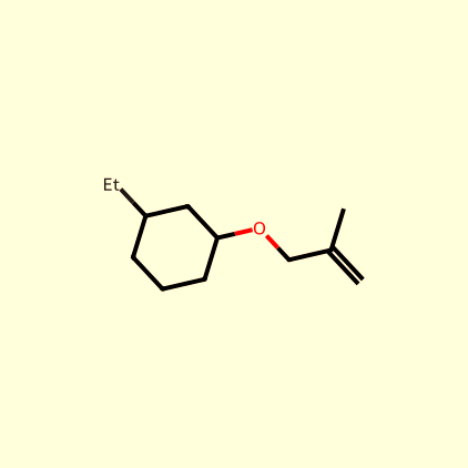 C=C(C)COC1CCCC(CC)C1